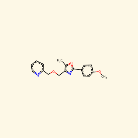 COc1ccc(-c2nc(COCc3ccccn3)c(C)o2)cc1